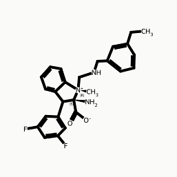 CCc1cccc(CNC[N@@+]2(C)c3ccccc3C(c3cc(F)cc(F)c3)[C@@]2(N)C(=O)[O-])c1